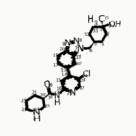 C[C@]1(O)CC[C@@H](Cn2nnc3ccc(-c4cc(NC(=O)[C@@H]5CCCNC5)ncc4Cl)cc32)CC1